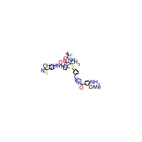 COc1cc(C(=O)N2CCN(Cc3cccc(CSC(C)(C)[C@H](NC(=O)C4(F)CC4)C(=O)N4CCC[C@H]4C(=O)NCc4ccc(-c5scnc5C)cc4)c3)CC2)ccc1N